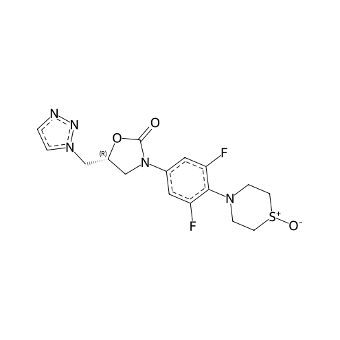 O=C1O[C@@H](Cn2ccnn2)CN1c1cc(F)c(N2CC[S+]([O-])CC2)c(F)c1